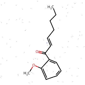 CCCC/C=C/C(=O)c1ccccc1OC